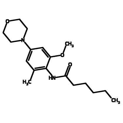 CCCCCC(=O)Nc1c(C)cc(N2CCOCC2)cc1OC